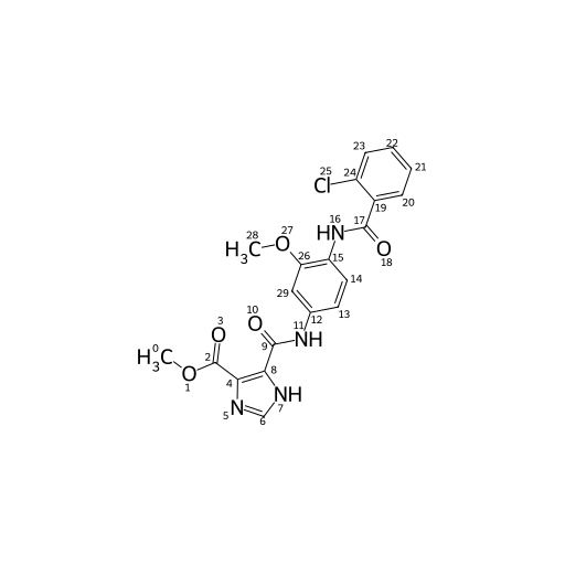 COC(=O)c1nc[nH]c1C(=O)Nc1ccc(NC(=O)c2ccccc2Cl)c(OC)c1